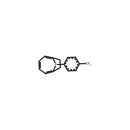 FC(F)(F)c1ccc(P2C3=CC=CC=C2CC3)cc1